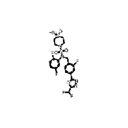 N=S1(=O)CCN(S(=O)(=O)N(Cc2ccc(-c3nnc(C(F)F)o3)cc2F)c2cc(F)ccc2F)CC1